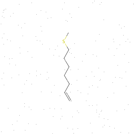 [CH]=CCCCCCSC